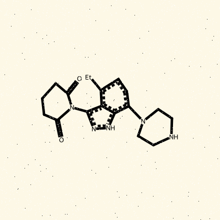 CCc1ccc(N2CCNCC2)c2[nH]nc(N3C(=O)CCCC3=O)c12